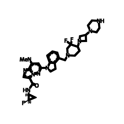 CNc1cc(N2CCc3c(CN4CCC(N5CC(N6CCNCC6)C5)C(F)(F)C4)cccc32)nn2c(C(=O)N[C@@H]3C[C@@H]3F)cnc12